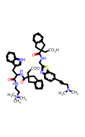 CN(C)CC#Cc1ccc2nc(CNC(=O)C3(CC(=O)O)Cc4ccccc4C3)sc2c1.C[N+](C)(C)CCNC(=O)C(Cc1c[nH]c2ccccc12)NC(=O)C1(CC(=O)[O-])Cc2ccccc2C1